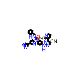 COc1ncccc1-c1nc(Nc2ccc(N(C(=O)NCc3ccccc3)c3ccc(-c4cnn(C)c4)cn3)cc2)ncc1C#N